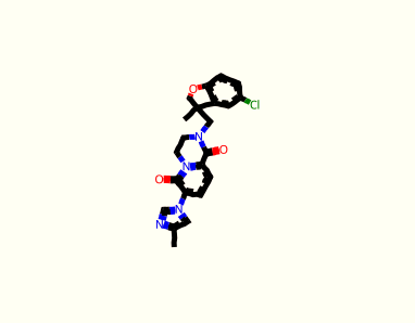 Cc1cn(-c2ccc3n(c2=O)CCN(CC2(C)COc4ccc(Cl)cc42)C3=O)cn1